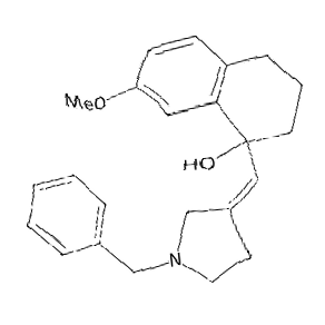 COc1ccc2c(c1)C(O)(C=C1CCN(Cc3ccccc3)C1)CCC2